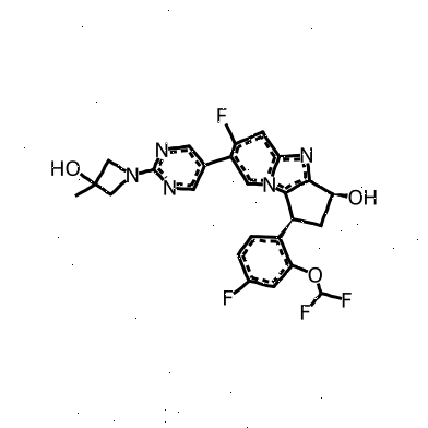 CC1(O)CN(c2ncc(-c3cn4c5c(nc4cc3F)[C@@H](O)C[C@H]5c3ccc(F)cc3OC(F)F)cn2)C1